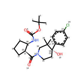 CC(C)(C)OC(=O)N[C@@H]1CCC[C@@H]1C(=O)N1CC[C@](O)(c2ccc(Cl)cc2)C(C)(C)C1